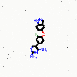 Nc1ncc(-c2ccc(Oc3ccc4[nH]ncc4c3)c(F)c2)c(N)n1